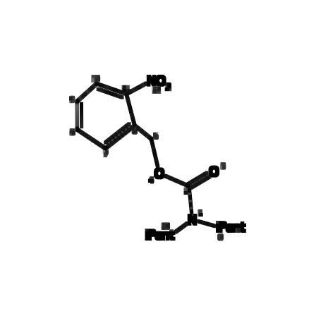 CCCC(C)N(C(=O)OCc1ccccc1[N+](=O)[O-])C(C)CCC